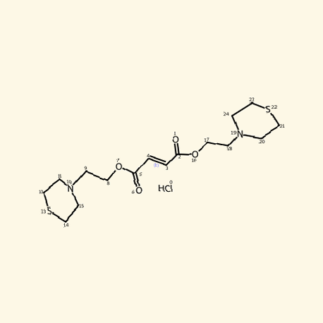 Cl.O=C(/C=C/C(=O)OCCN1CCSCC1)OCCN1CCSCC1